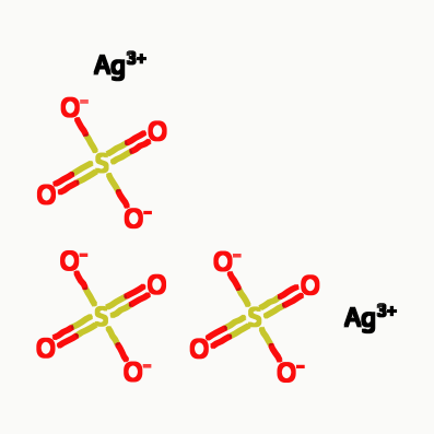 O=S(=O)([O-])[O-].O=S(=O)([O-])[O-].O=S(=O)([O-])[O-].[Ag+3].[Ag+3]